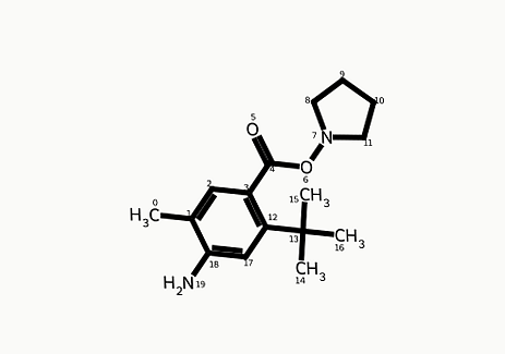 Cc1cc(C(=O)ON2CCCC2)c(C(C)(C)C)cc1N